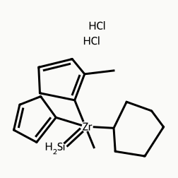 CC1=[C]([Zr]([CH3])(=[SiH2])([C]2=CC=CC2)[CH]2CCCCC2)CC=C1.Cl.Cl